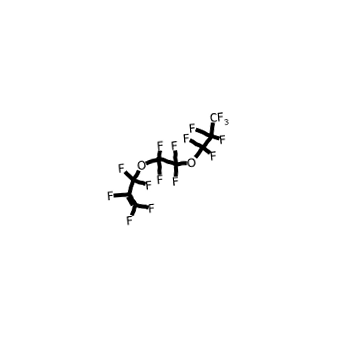 FC(F)=C(F)C(F)(F)OC(F)(F)C(F)(F)OC(F)(F)C(F)(F)C(F)(F)F